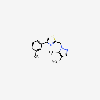 CCOC(=O)c1cnn(Cc2nc(-c3cccc(C(F)(F)F)c3)cs2)c1C(F)(F)F